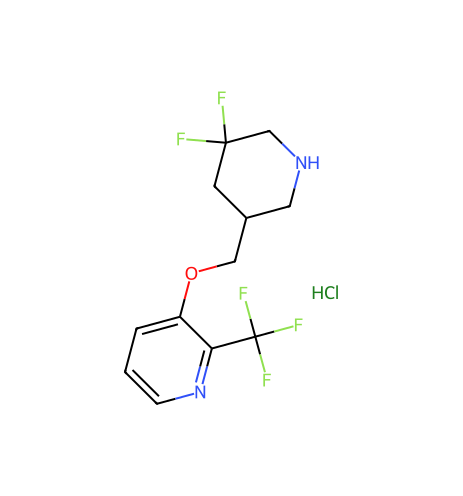 Cl.FC1(F)CNCC(COc2cccnc2C(F)(F)F)C1